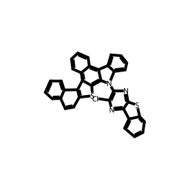 Clc1nc2c(nc1-n1c3ccccc3c3c4ccccc4c4c(sc5ccc6ccccc6c54)c31)sc1ccccc12